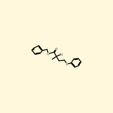 CCC(C)(CCOc1ccccc1)C(=O)OCc1ccccc1